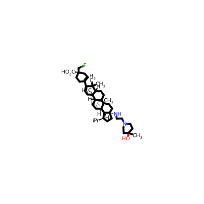 CC(C)[C@@H]1CC[C@]2(NCCN3CCC(C)(O)CC3)CC[C@]3(C)[C@H](CC[C@@H]4[C@@]5(C)CC=C(C6=CC[C@](CF)(C(=O)O)CC6)C(C)(C)[C@@H]5CC[C@]43C)[C@@H]12